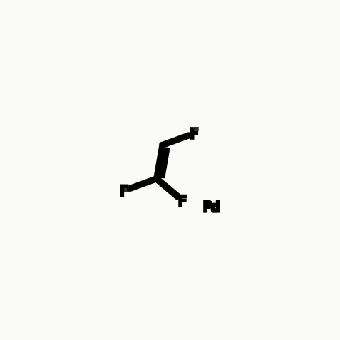 FC=C(F)F.[Pd]